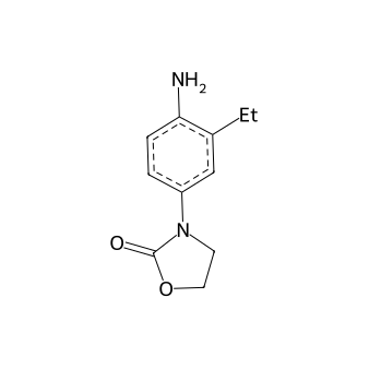 CCc1cc(N2CCOC2=O)ccc1N